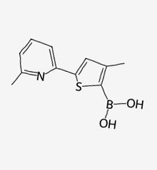 Cc1cccc(-c2cc(C)c(B(O)O)s2)n1